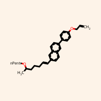 C=CCOc1ccc(-c2ccc3cc(C=CCCCC(C)OCCCCC)ccc3c2)cc1